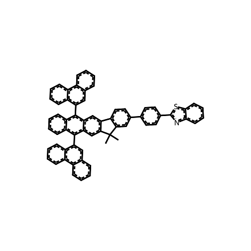 CC1(C)c2cc(-c3ccc(-c4nc5ccccc5s4)cc3)ccc2-c2cc3c(-c4cc5ccccc5c5ccccc45)c4ccccc4c(-c4cc5ccccc5c5ccccc45)c3cc21